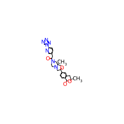 C[C@@H]1Cc2cc(C3CN4CCN(C(=O)Cc5ccc(-n6cnnn6)nc5)CC4(C)CO3)ccc2C(=O)O1